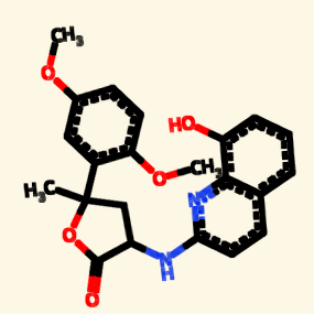 COc1ccc(OC)c(C2(C)CC(Nc3ccc4cccc(O)c4n3)C(=O)O2)c1